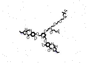 C/C=C1\C[C@H]2C=Nc3cc(OCc4cc(OCCN(CCOCCOCCN(C)CC(C)(C)SC)C(=O)CCN(C)C)cc(COc5cc6c(cc5OC)C(=O)N5C/C(=C/C)C[C@H]5C=N6)n4)c(OC)cc3C(=O)N2C1